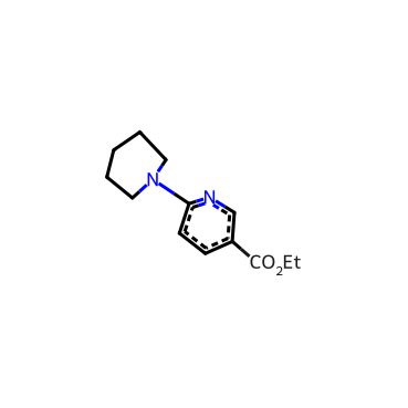 CCOC(=O)c1ccc(N2CCCCC2)nc1